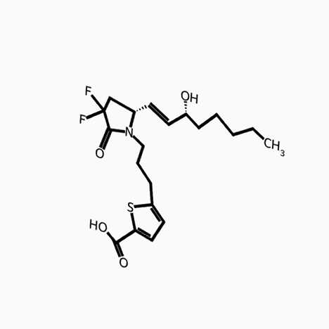 CCCCC[C@@H](O)/C=C/[C@H]1CC(F)(F)C(=O)N1CCCc1ccc(C(=O)O)s1